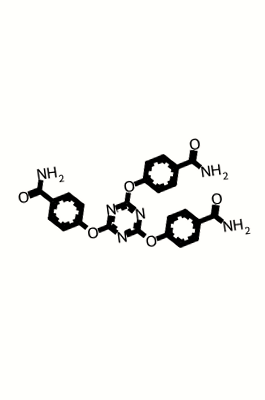 NC(=O)c1ccc(Oc2nc(Oc3ccc(C(N)=O)cc3)nc(Oc3ccc(C(N)=O)cc3)n2)cc1